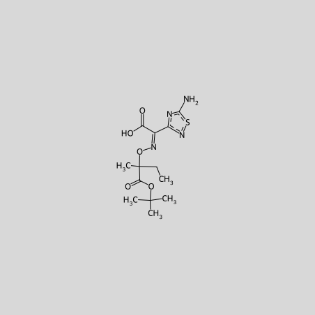 CCC(C)(ON=C(C(=O)O)c1nsc(N)n1)C(=O)OC(C)(C)C